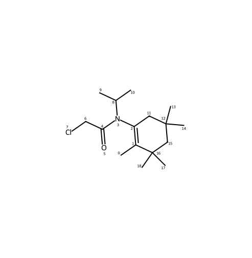 CC1=C(N(C(=O)CCl)C(C)C)CC(C)(C)CC1(C)C